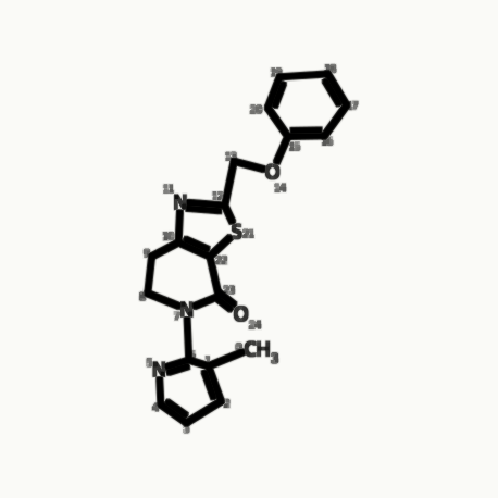 Cc1cccnc1N1CCc2nc(COc3ccccc3)sc2C1=O